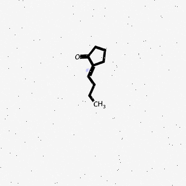 CCC/C=C1\CCCC1=O